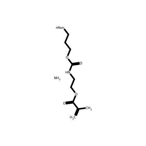 C=C(C)C(=O)OCCNC(=O)OCCCCCCCCCCCC.N